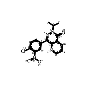 CC(C)n1nc(-c2ccc(Cl)c([N+](=O)[O-])c2)c2ncccc2c1=O